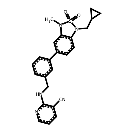 CN1c2cc(-c3cccc(CNc4ncccc4C#N)c3)ccc2N(CC2CC2)S1(=O)=O